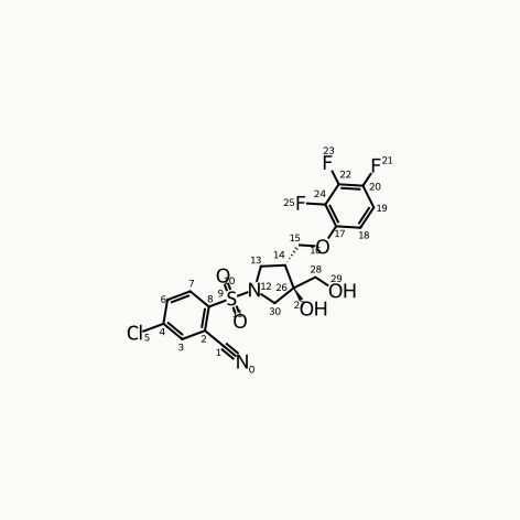 N#Cc1cc(Cl)ccc1S(=O)(=O)N1C[C@H](COc2ccc(F)c(F)c2F)[C@](O)(CO)C1